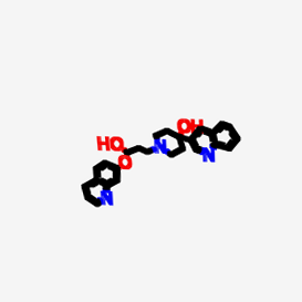 OC(CCN1CCC(O)(c2cnc3ccccc3c2)CC1)Oc1ccc2cccnc2c1